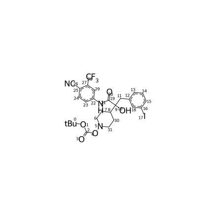 CC(C)(C)OC(=O)ON1CCC(C(O)(Cc2cccc(I)c2)C(=O)Nc2ccc(C#N)c(C(F)(F)F)c2)CC1